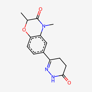 CC1Oc2ccc(C3=NNC(=O)CC3)cc2N(C)C1=O